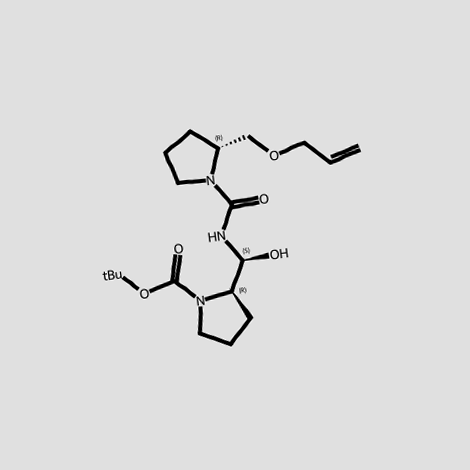 C=CCOC[C@H]1CCCN1C(=O)N[C@@H](O)[C@H]1CCCN1C(=O)OC(C)(C)C